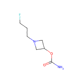 NC(=O)OC1CN(CCCF)C1